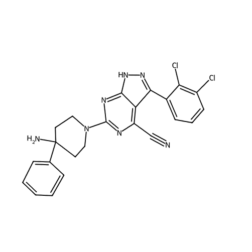 N#Cc1nc(N2CCC(N)(c3ccccc3)CC2)nc2[nH]nc(-c3cccc(Cl)c3Cl)c12